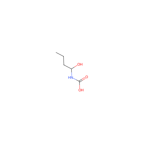 CCCC(O)NC(=O)O